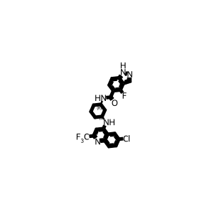 O=C(N[C@@H]1CCC[C@H](Nc2cc(C(F)(F)F)nc3ccc(Cl)cc23)C1)c1ccc2[nH]ncc2c1F